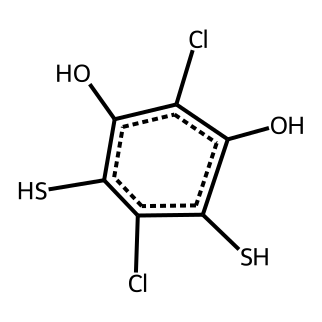 Oc1c(S)c(Cl)c(S)c(O)c1Cl